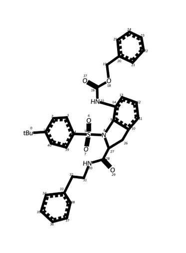 CC(C)(C)c1ccc(S(=O)(=O)N2c3c(cccc3NC(=O)OCc3ccccc3)CC2C(=O)NCCc2ccccc2)cc1